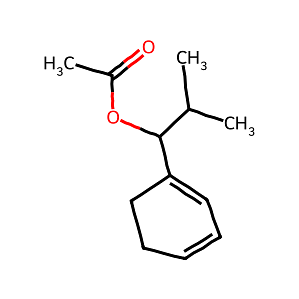 CC(=O)OC(C1=CC=CCC1)C(C)C